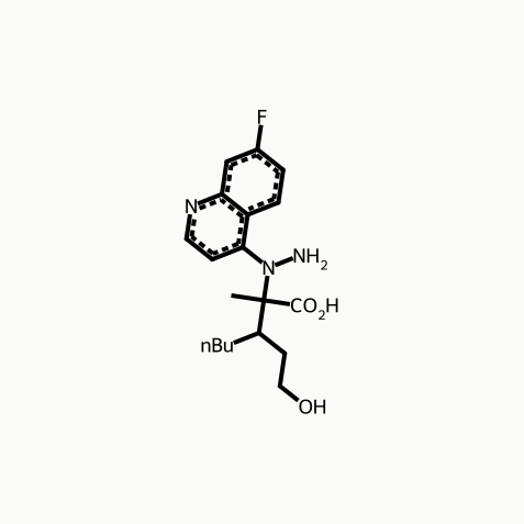 CCCCC(CCO)C(C)(C(=O)O)N(N)c1ccnc2cc(F)ccc12